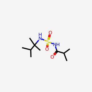 CC(C)C(=O)NS(=O)(=O)NC(C)(C)C(C)C